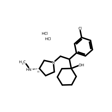 CN[C@H]1CCN(CC(c2cccc(Cl)c2)C2(O)CCCCC2)C1.Cl.Cl